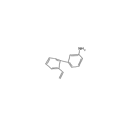 C=Cc1ccccc1-c1cccc(N)c1